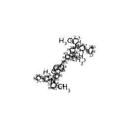 Cc1cccc(N(c2ccc(-c3ccccc3)cc2)c2ccc3c(c2)C(C)(C)c2cc(/C=C/c4ccc5c(c4)C(C)(C)c4cc(N(c6ccc(-c7ccccc7)cc6)c6cccc(C)c6)ccc4-5)ccc2-3)c1